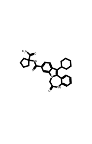 NC(=O)C1(NC(=O)c2ccc3c(C4CCCCC4)c4n(c3c2)CC(=O)Nc2ccccc2-4)CCCC1